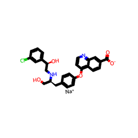 O=C([O-])c1ccc2c(Oc3ccc(C[C@@H](CO)NC[C@H](O)c4cccc(Cl)c4)cc3)ccnc2c1.[Na+]